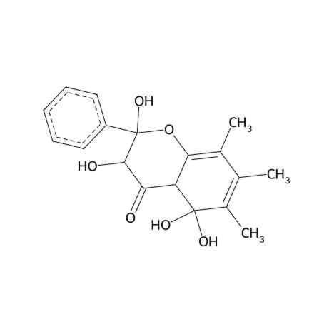 CC1=C2OC(O)(c3ccccc3)C(O)C(=O)C2C(O)(O)C(C)=C1C